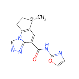 C[C@H]1CCc2c1cc(C(=O)Nc1ncco1)c1nncn21